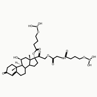 C[C@]12CCC(=O)C=C1CCC1C3CC[C@](OC(=O)CCCON(O)O)(C(=O)COC(=O)CNC(=O)CCCON(O)O)[C@@]3(C)C[C@H](O)[C@@H]12